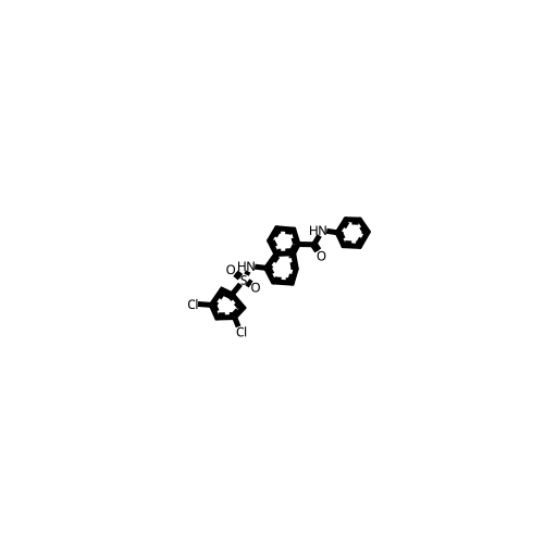 O=C(Nc1ccccc1)c1cccc2c(NS(=O)(=O)c3cc(Cl)cc(Cl)c3)cccc12